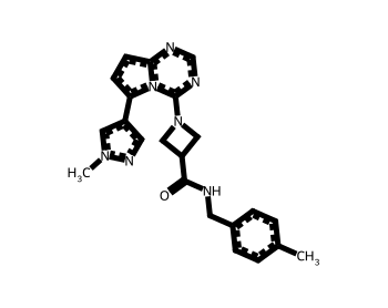 Cc1ccc(CNC(=O)C2CN(c3ncnc4ccc(-c5cnn(C)c5)n34)C2)cc1